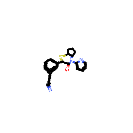 N#Cc1cccc(C(SC2CCCC2)C(=O)Nc2ccccn2)c1